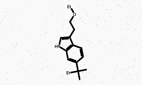 CCOCCc1c[nH]c2cc(C(C)(C)CC)ccc12